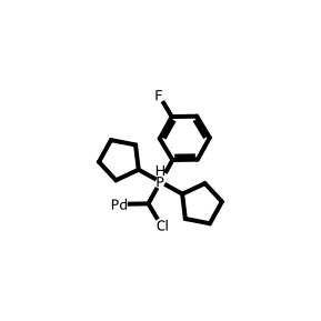 Fc1cccc([PH]([CH](Cl)[Pd])(C2CCCC2)C2CCCC2)c1